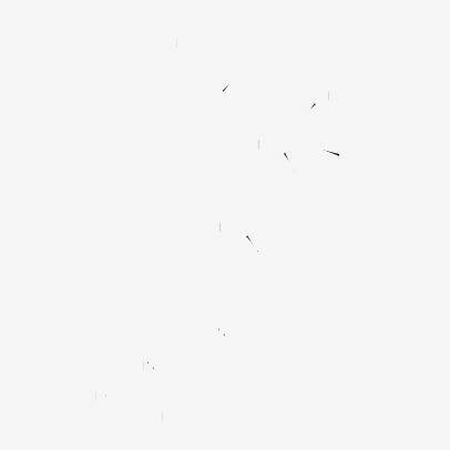 CC(C)NCC/N=C1\CC[C@]2(C)C3CC[C@@]4(C)C(CC[C@@H]4[C@H](C)CC[C@@H](O)C(C)C)C3[C@H](O)C[C@H]2C1